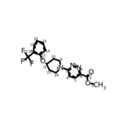 COC(=O)c1ccc(N2CCC(Oc3ccccc3C(F)(F)F)CC2)nn1